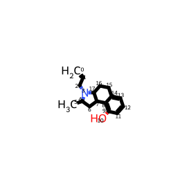 C=CCN1C(C)CC2c3c(O)cccc3CCC21